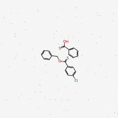 OC(=S)c1ccccc1.S=C(OCc1ccccc1)c1ccc(Cl)cc1